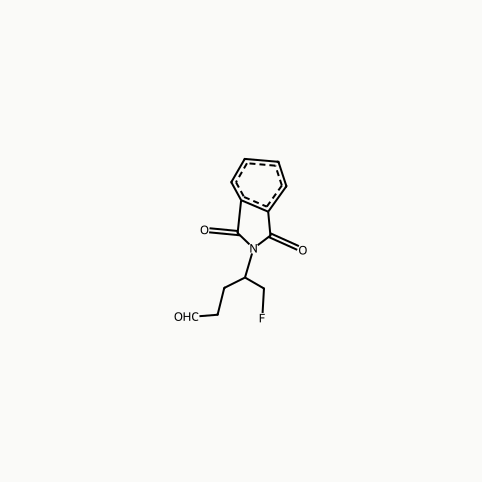 O=CCCC(CF)N1C(=O)c2ccccc2C1=O